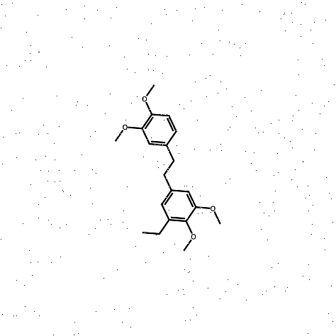 CCc1cc(CCc2ccc(OC)c(OC)c2)cc(OC)c1OC